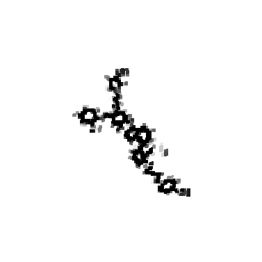 Cc1c(OCCCN2CCC(O)CC2)cccc1-c1cccc2c1CC[C@@H]2Oc1cc(OCCCN2CCC(O)C2)c(CN[C@@H]2CCCC[C@@H]2O)cc1Cl